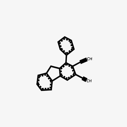 C#Cc1cc2c(c(-c3ccccc3)c1C#C)Cc1ccccc1-2